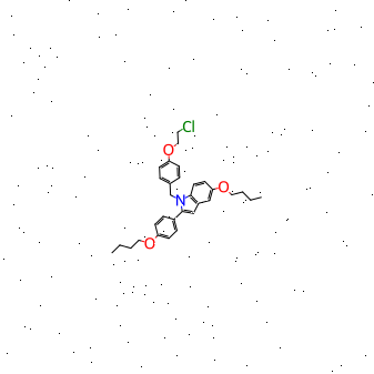 CCCCOc1ccc(-c2cc3cc(OCCCC)ccc3n2Cc2ccc(OCCCl)cc2)cc1